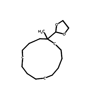 CC1(C2OCCO2)CCCCCCCCCCCCC1